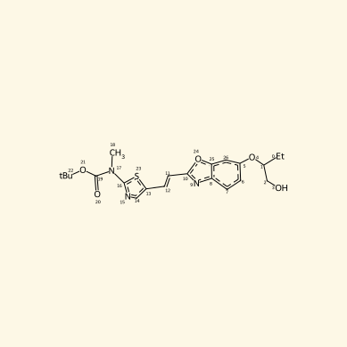 CCC(CO)Oc1ccc2nc(/C=C/c3cnc(N(C)C(=O)OC(C)(C)C)s3)oc2c1